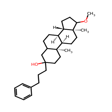 COC1CC[C@H]2[C@@H]3CCC4CC(O)(CCCc5ccccc5)CC[C@]4(C)[C@@H]3CC[C@]12C